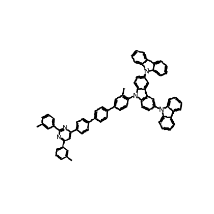 Cc1cccc(-c2cc(-c3ccc(-c4ccc(-c5ccc(-n6c7ccc(-n8c9ccccc9c9ccccc98)cc7c7cc(-n8c9ccccc9c9ccccc98)ccc76)c(C)c5)cc4)cc3)nc(-c3cccc(C)c3)n2)c1